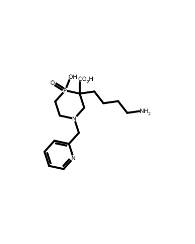 NCCCCC1(C(=O)O)CN(Cc2ccccn2)CCP1(=O)O